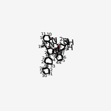 [2H]C([2H])([2H])c1cc(-c2nc3ccccc3n2-c2c(C(C)C)cc(-c3ccc(-c4ccccc4)cc3)cc2C(C)C)c2oc3ccccc3c2c1